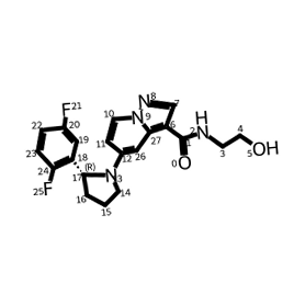 O=C(NCCO)c1cnn2ccc(N3CCC[C@@H]3c3cc(F)ccc3F)cc12